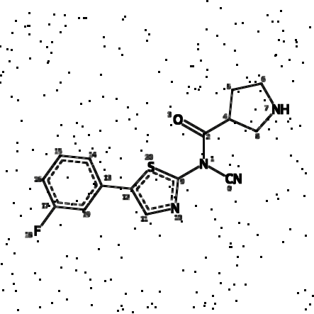 N#CN(C(=O)C1CCNC1)c1ncc(-c2cccc(F)c2)s1